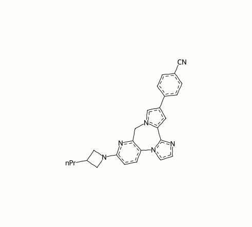 CCCC1CN(c2ccc3c(n2)Cn2cc(-c4ccc(C#N)cc4)cc2-c2nccn2-3)C1